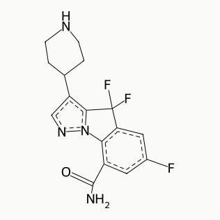 NC(=O)c1cc(F)cc2c1-n1ncc(C3CCNCC3)c1C2(F)F